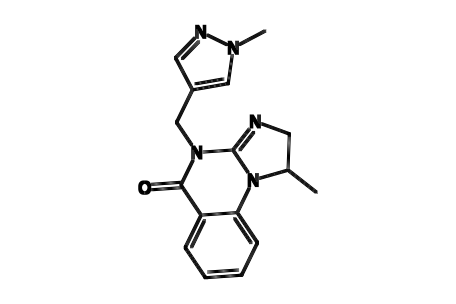 CC1CN=C2N(Cc3cnn(C)c3)C(=O)c3ccccc3N21